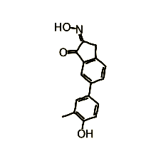 Cc1cc(-c2ccc3c(c2)C(=O)/C(=N\O)C3)ccc1O